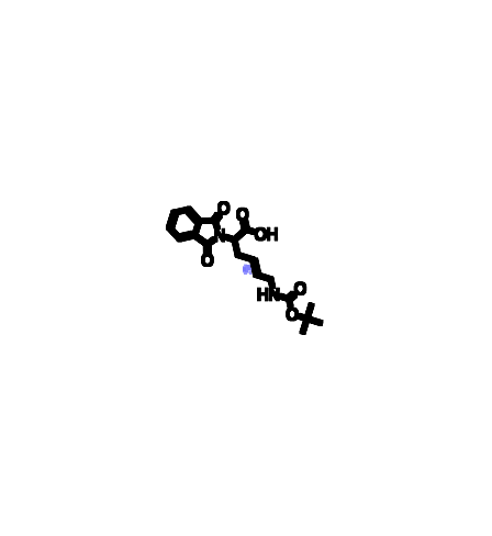 CC(C)(C)OC(=O)NC/C=C/CC(C(=O)O)N1C(=O)c2ccccc2C1=O